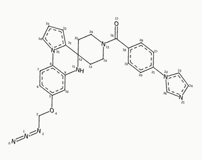 [N-]=[N+]=NCOc1ccc2c(c1)NC1(CCN(C(=O)c3ccc(-n4ccnc4)cc3)CC1)c1cccn1-2